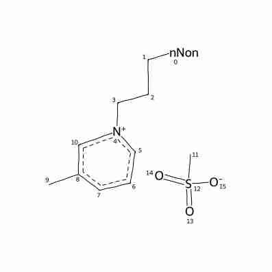 CCCCCCCCCCCC[n+]1cccc(C)c1.CS(=O)(=O)[O-]